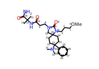 COCCCN1C(=O)N(CCC(=O)NC(C)(C)C(N)=O)CC12CCC(c1ccccc1)(N(C)C)CC2